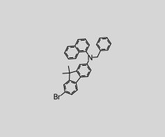 CC1(C)c2cc(Br)ccc2-c2ccc(N(Cc3ccccc3)c3cccc4ccccc34)cc21